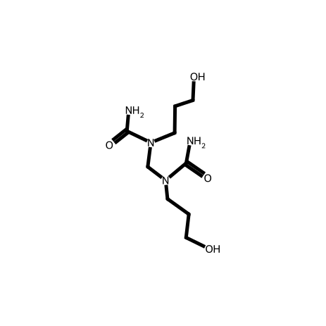 NC(=O)N(CCCO)CN(CCCO)C(N)=O